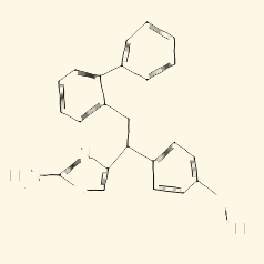 COc1ccc(C(Cc2ccccc2-c2ccccc2)c2csc(N)n2)cc1